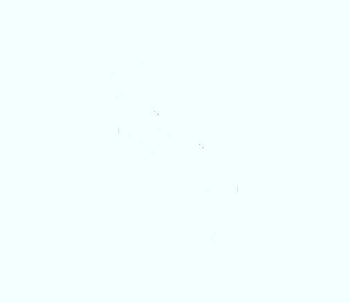 C[C@@H](Oc1ccc2c(-c3ccc(F)cc3Cl)ccnc2c1)C(=O)N1CCC[C@](C)(C(=O)O)C1